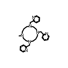 CN1CCCN(Cc2ccccn2)CCN(Cc2ccccn2)CCCN(Cc2ccccn2)CC1